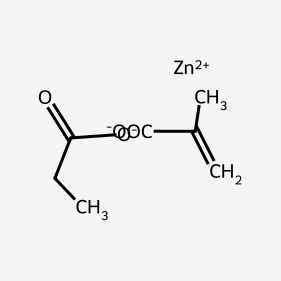 C=C(C)C(=O)[O-].CCC(=O)[O-].[Zn+2]